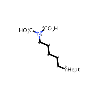 CCCCCCCCCCCCN(C(=O)O)C(=O)O